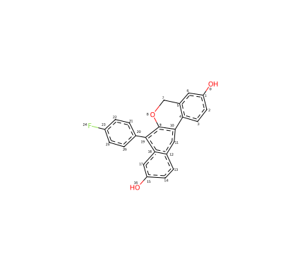 Oc1ccc2c(c1)COc1c-2cc2ccc(O)cc2c1-c1ccc(F)cc1